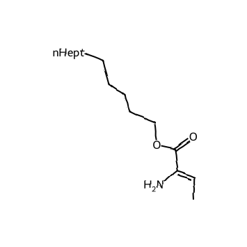 CC=C(N)C(=O)OCCCCCCCCCCCC